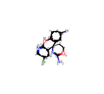 NC1=N[C@@]2(CCO1)c1cc(I)ccc1Oc1ncc(Br)cc12